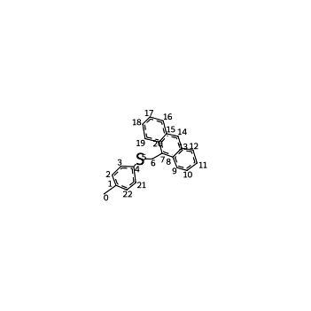 Cc1ccc(SCc2c3ccccc3cc3ccccc23)cc1